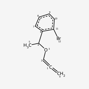 C=C=COC(C)c1ccccc1Br